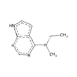 C[CH]N(C)c1ncnc2[nH]ccc12